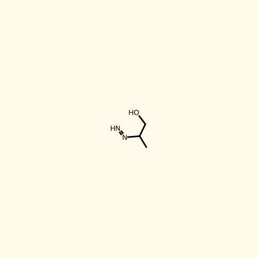 CC(CO)N=N